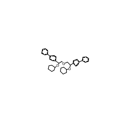 c1ccc(-c2ccc(C(COCC(OC3CCCCC3)c3ccc(-c4ccccc4)cc3)OC3CCCCC3)cc2)cc1